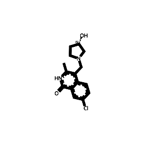 Cc1[nH]c(=O)c2cc(Cl)ccc2c1CN1CC[C@H](O)C1